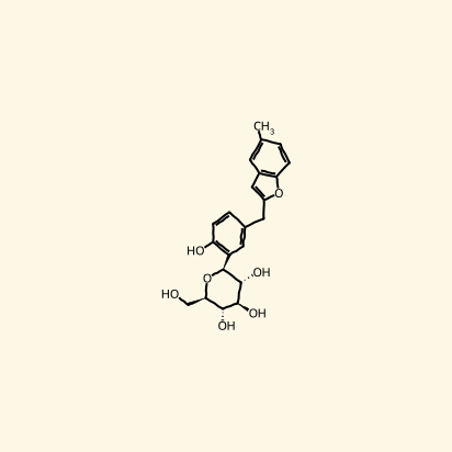 Cc1ccc2oc(Cc3ccc(O)c([C@@H]4O[C@H](CO)[C@@H](O)[C@H](O)[C@H]4O)c3)cc2c1